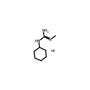 CN=C(N)NC1CCCCC1.I